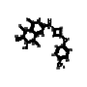 Cc1nc(N[C@H]2C[C@H](Oc3cnc(C(F)(F)F)nc3)C2)nc2c1N(C)C(=O)[C@H](C)N2C